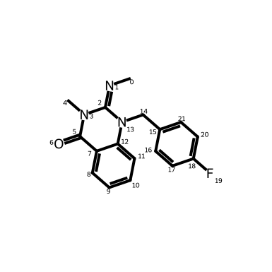 CN=c1n(C)c(=O)c2ccccc2n1Cc1ccc(F)cc1